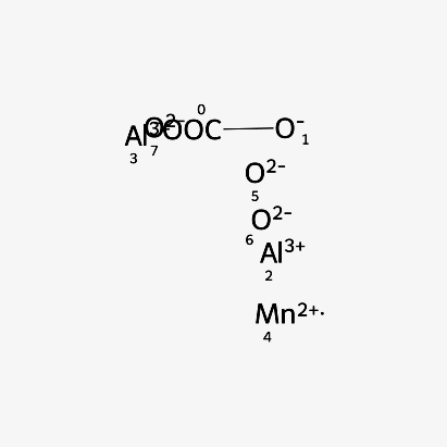 O=C([O-])[O-].[Al+3].[Al+3].[Mn+2].[O-2].[O-2].[O-2]